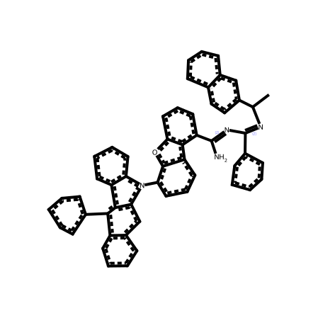 CC(/N=C(\N=C(/N)c1cccc2oc3c(-n4c5ccccc5c5c(-c6ccccc6)c6ccccc6cc54)cccc3c12)c1ccccc1)c1ccc2ccccc2c1